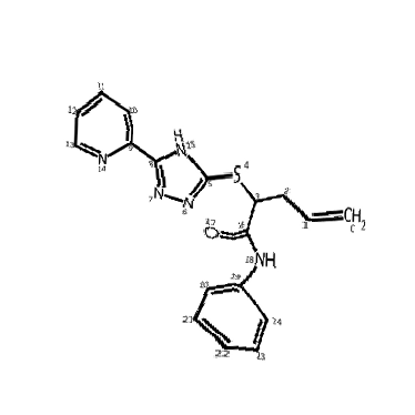 C=CCC(Sc1nnc(-c2ccccn2)[nH]1)C(=O)Nc1ccccc1